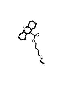 C=COCCCCOC(=O)c1c2ccccc2nc2ccccc12